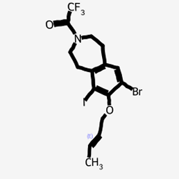 C/C=C/COc1c(Br)cc2c(c1I)CCN(C(=O)C(F)(F)F)CC2